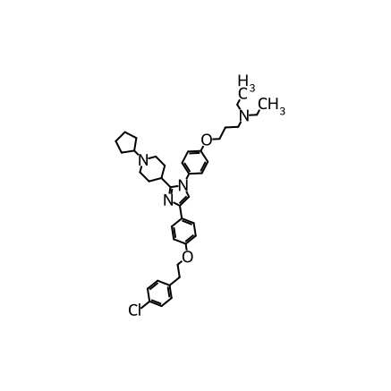 CCN(CC)CCCOc1ccc(-n2cc(-c3ccc(OCCc4ccc(Cl)cc4)cc3)nc2C2CCN(C3CCCC3)CC2)cc1